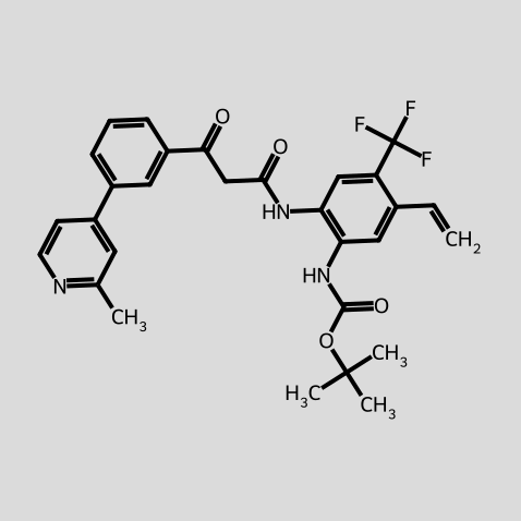 C=Cc1cc(NC(=O)OC(C)(C)C)c(NC(=O)CC(=O)c2cccc(-c3ccnc(C)c3)c2)cc1C(F)(F)F